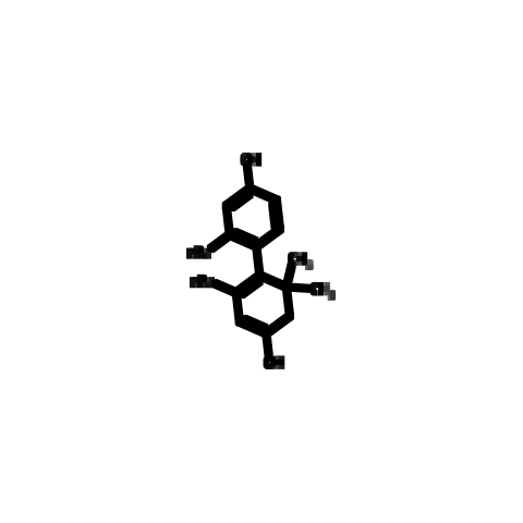 CCCCC1=C(c2ccc(O)cc2CCCC)C(C)(C)CC(O)=C1